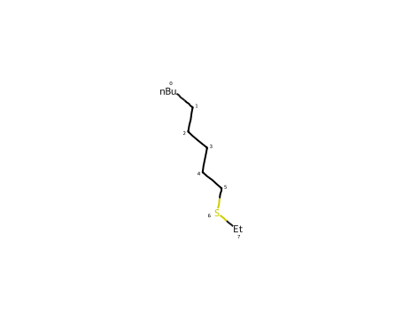 CCCCCCCCCSCC